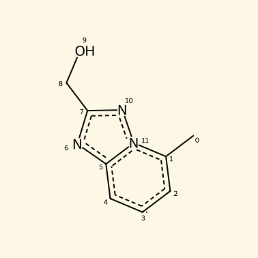 Cc1c[c]cc2nc(CO)nn12